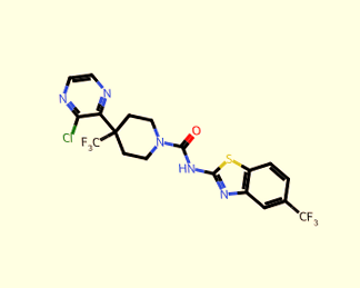 O=C(Nc1nc2cc(C(F)(F)F)ccc2s1)N1CCC(c2nccnc2Cl)(C(F)(F)F)CC1